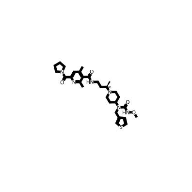 CONC(=O)N(Cc1ccsc1)C1CCN([C@H](C)CCNC(=O)c2c(C)cc(C(=O)N3CCCC3)nc2C)CC1